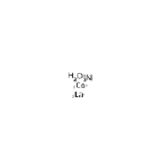 O.[Co].[La].[Ni]